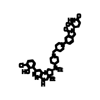 CCN(C1CCN(CC2CCN(c3ccc4c(c3)C(=O)N([C@H]3CCC(=O)NC3=O)C4)CC2)CC1)[C@H]1CN2c3cc(-c4cccc(Cl)c4O)nnc3NC[C@@]2(CC)C1